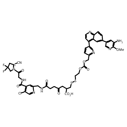 COc1ncc(-c2ccc3nccc(-c4ccc(COC(=O)OCCSSCC(CC(=O)CCC(=O)NCc5cc(C(=O)NCC(=O)N6CC(F)(F)C[C@H]6C#N)c(Cl)cn5)C(=O)O)nc4)c3c2)cc1N